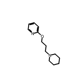 c1ccc(OCCCN2CCCCC2)nc1